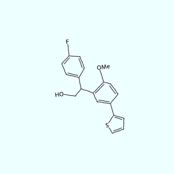 COc1ccc(-c2cccs2)cc1C(CO)c1ccc(F)cc1